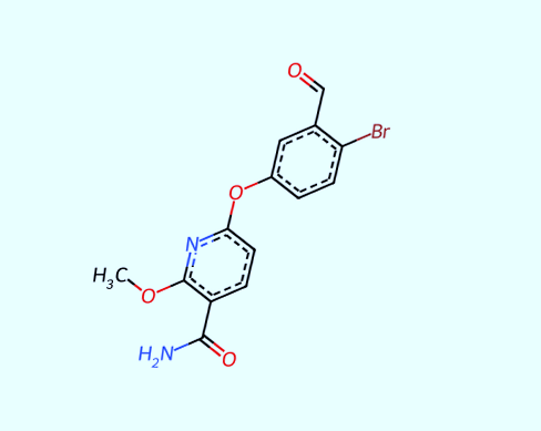 COc1nc(Oc2ccc(Br)c(C=O)c2)ccc1C(N)=O